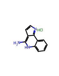 Cl.Nc1[nH]c2ccccc2c2nccc1-2